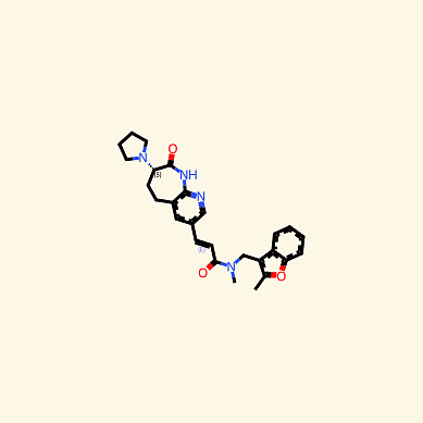 Cc1oc2ccccc2c1CN(C)C(=O)/C=C/c1cnc2c(c1)CC[C@H](N1CCCC1)C(=O)N2